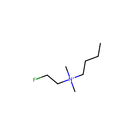 CCCC[N+](C)(C)CCF